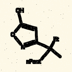 CCCCCC(C)(CC)c1cc(O)on1